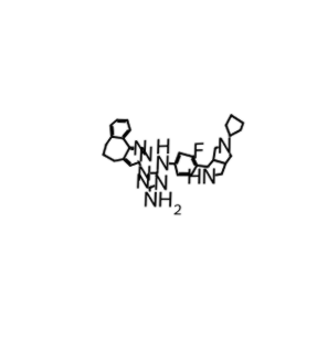 Nc1nc(Nc2ccc(C3NCC4CN(C5CCCC5)CC43)c(F)c2)n(-c2cc3c(nn2)-c2ccccc2CCC3)n1